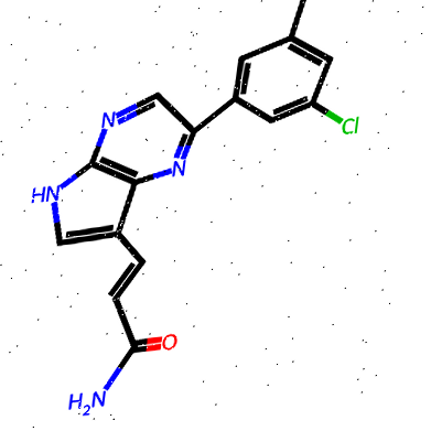 Cc1cc(Cl)cc(-c2cnc3[nH]cc(/C=C/C(N)=O)c3n2)c1